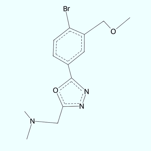 COCc1cc(-c2nnc(CN(C)C)o2)ccc1Br